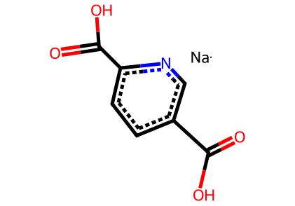 O=C(O)c1ccc(C(=O)O)nc1.[Na]